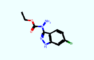 CCOC(=O)N(N)c1n[nH]c2cc(Br)ccc12